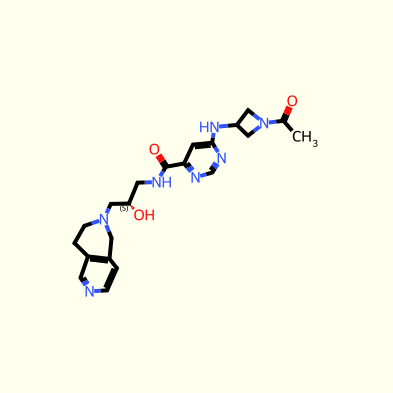 CC(=O)N1CC(Nc2cc(C(=O)NC[C@H](O)CN3CCc4cnccc4C3)ncn2)C1